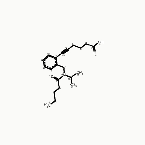 CCCCC(=O)N(Cc1ccccc1C#CCCCC(=O)O)C(C)C